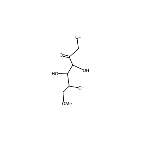 COCC(O)C(O)C(O)C(=O)CO